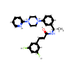 C[C@H](NC(=O)C=Cc1cc(F)cc(F)c1)c1cccc(N2CCN(c3ccccn3)CC2)c1